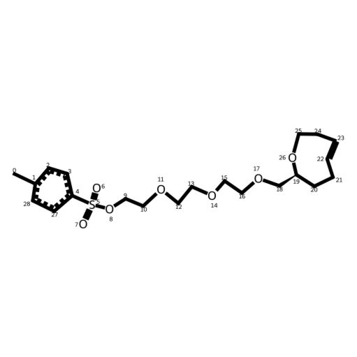 Cc1ccc(S(=O)(=O)OCCOCCOCCOC[C@@H]2CC/C=C/CCO2)cc1